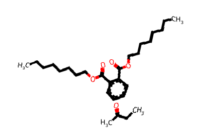 CCC(C)=O.CCCCCCCCOC(=O)c1ccccc1C(=O)OCCCCCCCC